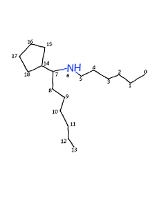 CCCCCCNC(CCCCCC)C1CCCC1